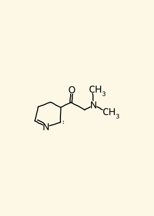 CN(C)CC(=O)C1[C]N=CCC1